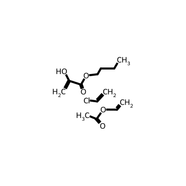 C=C(O)C(=O)OCCCC.C=CCl.C=COC(C)=O